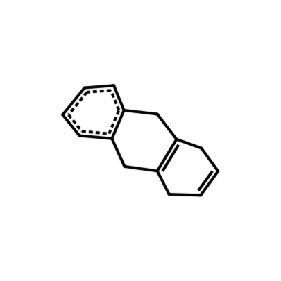 C1=CCC2=C(C1)Cc1ccccc1C2